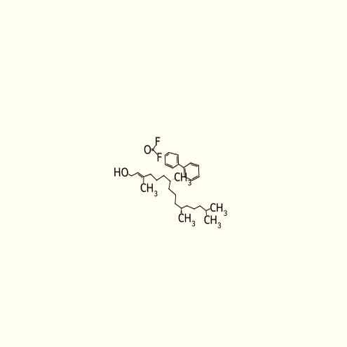 C/C(=C\CO)CCC[C@H](C)CCC[C@H](C)CCCC(C)C.O=C(F)F.c1ccc(-c2ccccc2)cc1